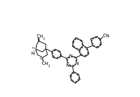 C=C1C[C@@H]2C[C@H](C)CC(c3ccc(-c4nc(-c5ccccc5)nc(-c5ccc(-c6ccc(C#N)cc6)c6ccccc56)n4)cc3)(C1)C2